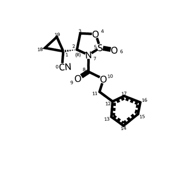 N#CC1([C@@H]2COS(=O)N2C(=O)OCc2ccccc2)CC1